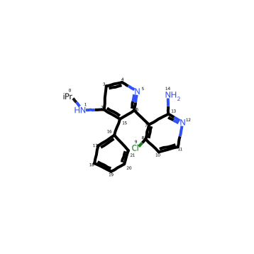 CC(C)Nc1ccnc(-c2c(Cl)ccnc2N)c1-c1ccccc1